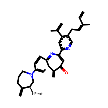 C=C/C(C)=C\Cc1cnc(C2=CC(=O)C(=C)CC(/C=C\C(=C/C)N3CCCC(=C)[C@H](CCCCC)C3)=N2)cc1C(=C)C